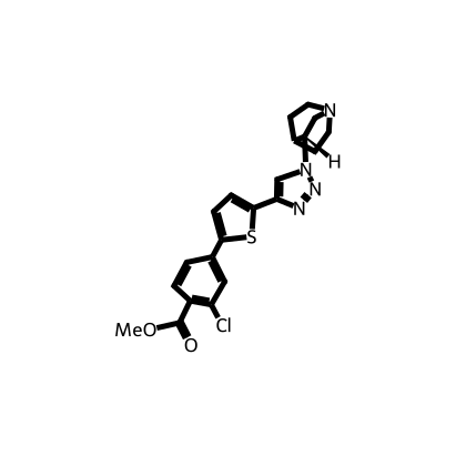 COC(=O)c1ccc(-c2ccc(-c3cn([C@H]4CN5CCC4CC5)nn3)s2)cc1Cl